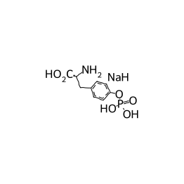 N[C@@H](Cc1ccc(OP(=O)(O)O)cc1)C(=O)O.[NaH]